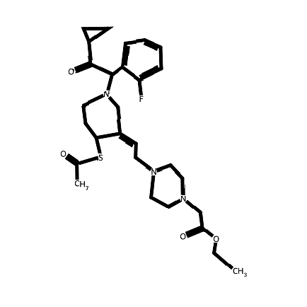 CCOC(=O)CN1CCN(CC=C2CN(C(C(=O)C3CC3)c3ccccc3F)CCC2SC(C)=O)CC1